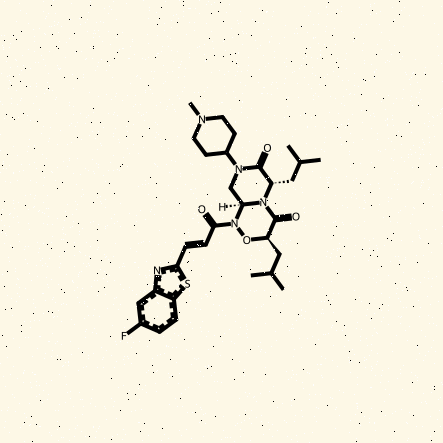 CC(C)C[C@H]1ON(C(=O)/C=C/c2nc3cc(F)ccc3s2)[C@H]2CN(C3CCN(C)CC3)C(=O)[C@H](CC(C)C)N2C1=O